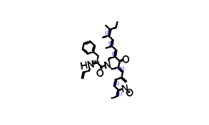 C=CCN[C@@H](Cc1ccccc1)C(=O)N1C/C(=C\C(=C)/C=C\C(=C/C)N=O)C(=O)/C(=C/C(C)=C/C(C)=C(/C)CC)C1